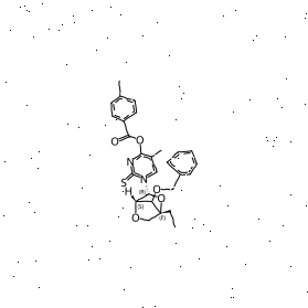 CC[C@@]12CO[C@@H](C1OCc1ccccc1)[C@H](n1cc(C)c(OC(=O)c3ccc(C)cc3)nc1=S)O2